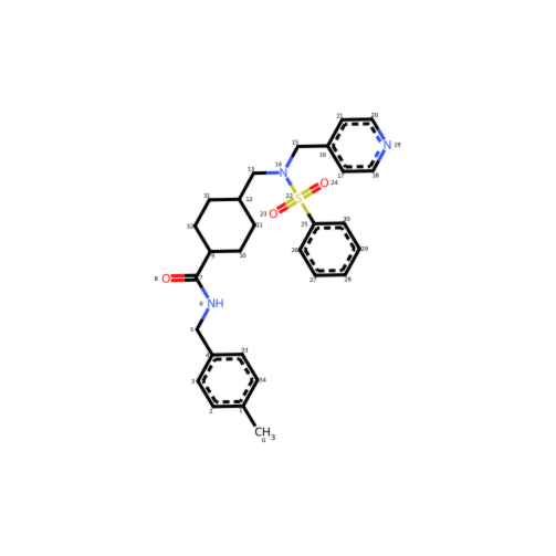 Cc1ccc(CNC(=O)C2CCC(CN(Cc3ccncc3)S(=O)(=O)c3ccccc3)CC2)cc1